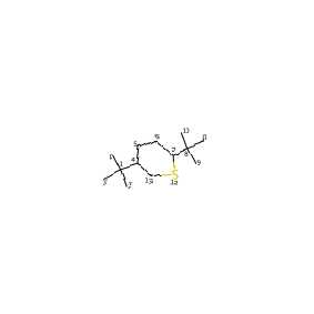 CC(C)(C)C1CCC(C(C)(C)C)SC1